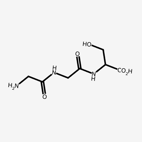 NCC(=O)NCC(=O)NC(CO)C(=O)O